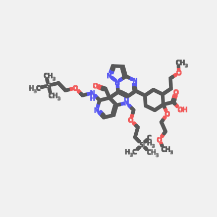 COCCOC1(C(=O)O)CCC(c2cc(C3(C=O)C(NCOCC[Si](C)(C)C)=CC=NC3NCOCC[Si](C)(C)C)n3nccc3n2)CC1CCOC